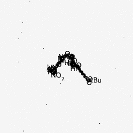 CC(C)(C)OC(=O)CCCCCCCCNC(=O)c1ccc(=O)n(S(=O)(=O)c2cccc(C(=O)NCc3cn(CCOCCNc4ccc([N+](=O)[O-])c5nonc45)nn3)c2)c1